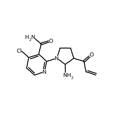 C=CC(=O)C1CCN(c2nccc(Cl)c2C(N)=O)C1N